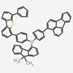 CC1(C)c2ccccc2-c2c(N(c3ccc(-c4ccc5c6c(cccc46)-c4ccccc4-5)cc3)c3ccc(-c4cccc5c4sc4c(-c6ccccc6)cccc45)cc3)cccc21